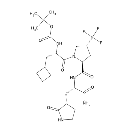 CC(C)(C)OC(=O)N[C@@H](CC1CCC1)C(=O)N1C[C@H](C(F)(F)F)C[C@H]1C(=O)N[C@@H](C[C@@H]1CCNC1=O)C(N)=O